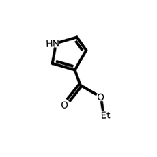 [CH2]COC(=O)c1cc[nH]c1